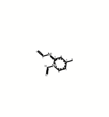 C=C/N=c1/cc(C)ccn1C=C